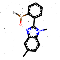 CC[S+]([O-])c1ccccc1-c1nc2cc(C)ccc2n1C